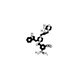 CN(C)c1cc(C(=O)N2CCN(CC#CCN3CCOCC3(C)C)CC2Cc2c[nH]c3ccccc23)cc(C(F)(F)F)c1.Cl.Cl